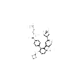 CCNCCNC(=O)c1ccc(-c2c(OC3CCC3)ccc3[nH]c4cnc(-c5cnn(C)c5)cc4c23)cc1